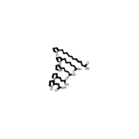 O=C(O)CCCCCCCCCCc1ccc[nH]1.O=C(O)CCCCCc1ccc[nH]1.O=C(O)CCCc1ccc[nH]1.O=C(O)CCc1ccc[nH]1.O=C(O)Cc1ccc[nH]1